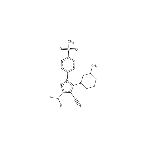 CC1CCCN(c2c(C#N)c(C(F)F)nn2-c2ccc(S(C)(=O)=O)cc2)C1